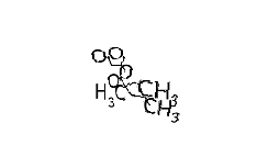 CCCC(C)(CC)C(=O)OC1COC(=O)C1